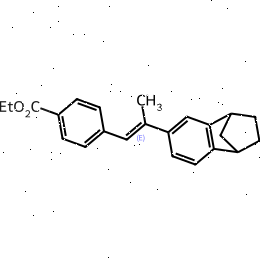 CCOC(=O)c1ccc(/C=C(\C)c2ccc3c(c2)C2CCC3C2)cc1